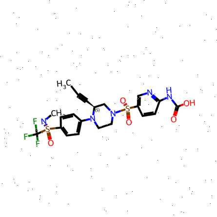 CC#C[C@H]1CN(S(=O)(=O)c2ccc(NC(=O)O)nc2)CCN1c1ccc(S(=O)(=NC)C(F)(F)F)cc1